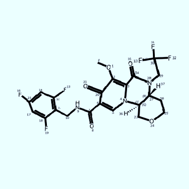 COc1c2n(cc(C(=O)NCc3c(F)cc(F)cc3F)c1=O)[C@@H]1COCC[C@H]1N(CC(F)(F)F)C2=O